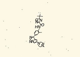 Cc1cc(-c2ncnn3cc(N4CCN(C)[C@@H](C)C4)cc23)ccc1CNC(=O)c1noc(C(C)(C)C)n1